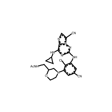 CC(=O)NCC1CN(c2cc(C#N)cc(Nc3nc(NC4CC4)c4ncc(C#N)n4n3)c2Cl)CCO1